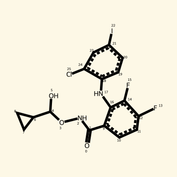 O=C(NOC(O)C1CC1)c1ccc(F)c(F)c1Nc1ccc(I)cc1Cl